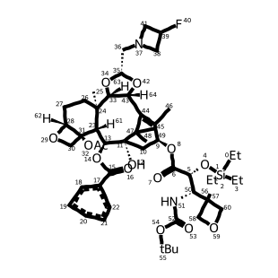 CC[Si](CC)(CC)O[C@@H](C(=O)O[C@H]1C[C@@]2(O)[C@@H](OC(=O)c3ccccc3)[C@H]3[C@@](C)(CC[C@H]4OC[C@]43OC(C)=O)[C@@H]3O[C@H](CN4CC(F)C4)O[C@@H]3C(=C1C)C2(C)C)[C@@H](NC(=O)OC(C)(C)C)C1(C)COC1